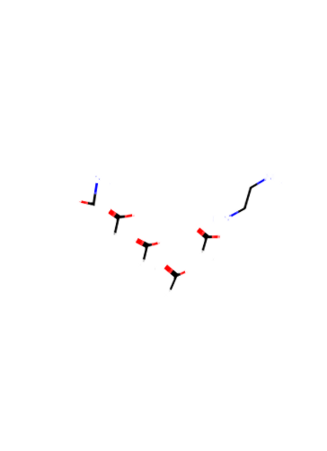 CC(=O)O.CC(=O)O.CC(=O)O.CC(=O)O.NCCN.NCO